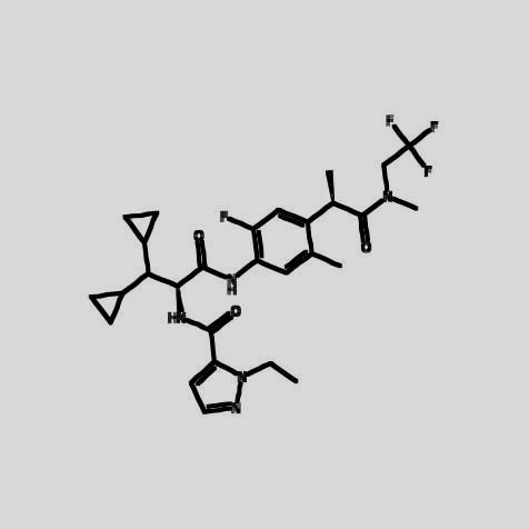 CCn1nccc1C(=O)N[C@H](C(=O)Nc1cc(C)c([C@@H](C)C(=O)N(C)CC(F)(F)F)cc1F)C(C1CC1)C1CC1